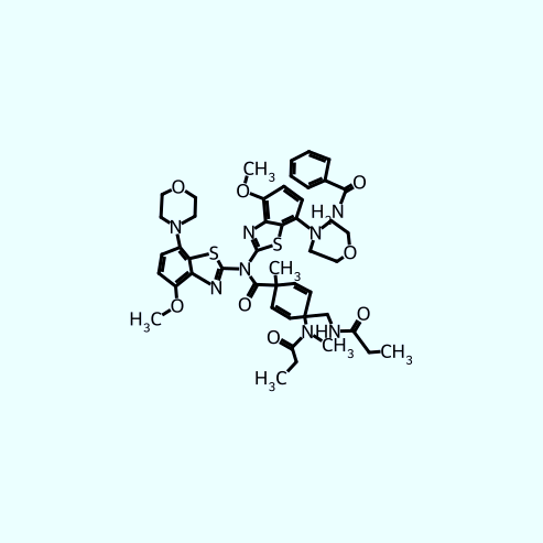 CCC(=O)NCC1(N(C)C(=O)CC)C=CC(C)(C(=O)N(c2nc3c(OC)ccc(N4CCOCC4)c3s2)c2nc3c(OC)ccc(N4CCOCC4)c3s2)C=C1.NC(=O)c1ccccc1